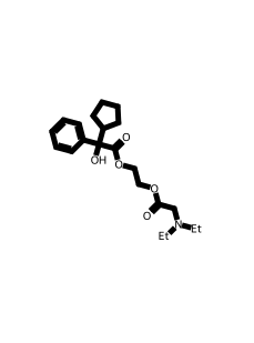 CCN(CC)CC(=O)OCCOC(=O)C(O)(c1ccccc1)C1CCCC1